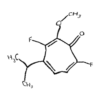 COc1c(F)c(C(C)C)ccc(F)c1=O